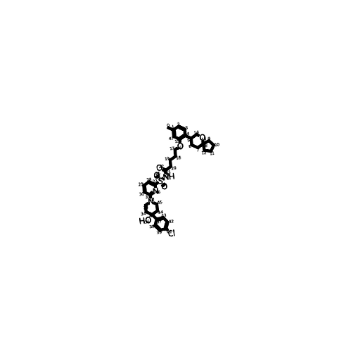 Cc1ccc(C2CCC3(CCCC3)OC2)c(OCCCCC(=O)NS(=O)(=O)c2cccc(N3CCC(O)(c4ccc(Cl)cc4)CC3)n2)c1